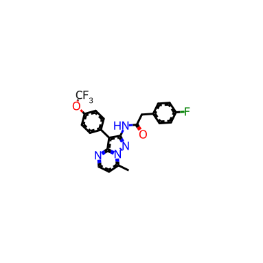 Cc1ccnc2c(-c3ccc(OC(F)(F)F)cc3)c(NC(=O)Cc3ccc(F)cc3)nn12